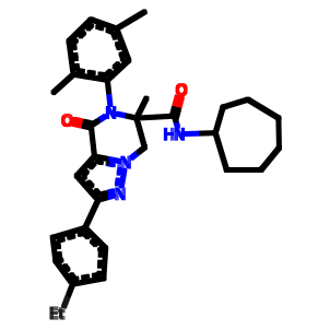 CCc1ccc(-c2cc3n(n2)CC(C)(C(=O)NC2CCCCCC2)N(c2cc(C)ccc2C)C3=O)cc1